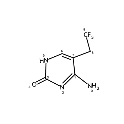 Nc1nc(=O)[nH]cc1CC(F)(F)F